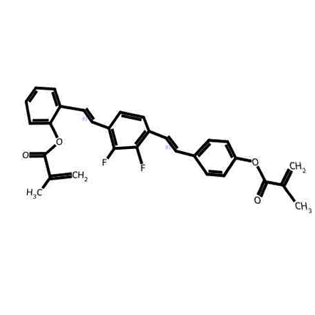 C=C(C)C(=O)Oc1ccc(/C=C/c2ccc(/C=C/c3ccccc3OC(=O)C(=C)C)c(F)c2F)cc1